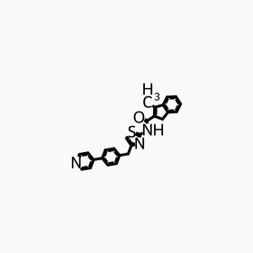 CC1=C(C(=O)Nc2nc(Cc3ccc(-c4ccncc4)cc3)cs2)Cc2ccccc21